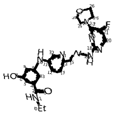 CCNC(=O)c1cc(O)cc(Nc2ccc(/C=N/Nc3ncc(F)c(N4CCOCC4)n3)nc2)c1